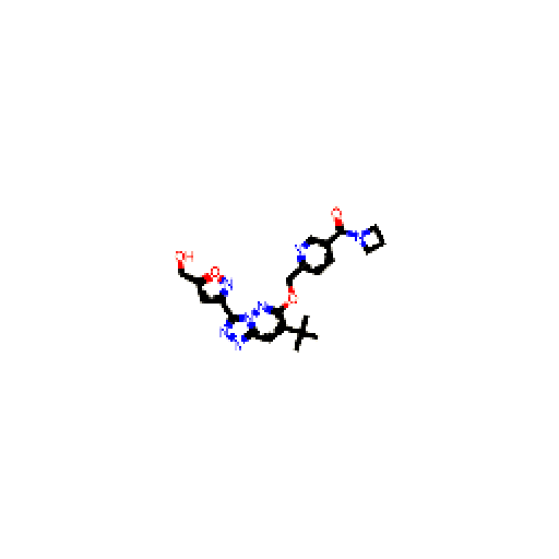 CC(C)(C)c1cc2nnc(-c3cc(CO)on3)n2nc1OCc1ccc(C(=O)N2CCC2)cn1